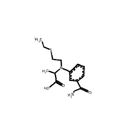 CCSCCN(c1cccc(C(N)=O)c1)C(C)C(=O)O